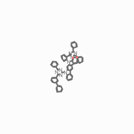 c1ccc(-c2cccc(-c3nc(-c4ccccc4)nc(-n4c5ccccc5c5cc6c7ccccc7n(-c7ccccc7-c7nc(-c8ccccc8)nc(-c8ccccc8)n7)c6cc54)n3)c2)cc1